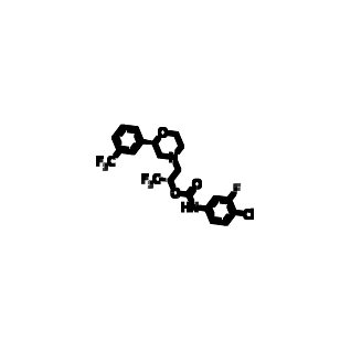 O=C(Nc1ccc(Cl)c(F)c1)O[C@@H](CN1CCO[C@H](c2cccc(C(F)(F)F)c2)C1)C(F)(F)F